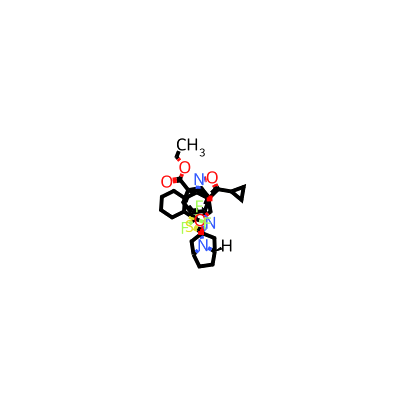 CCOC(=O)c1ccc2nc(N3C4CC[C@H]3CC(OCc3c(C5CCCCC5C(F)(F)F)noc3C3CC3)C4)sc2c1